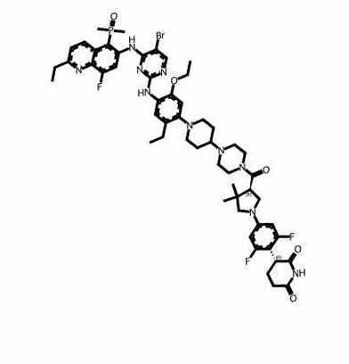 CCOc1cc(N2CCC(N3CCN(C(=O)[C@H]4CN(c5cc(F)c([C@H]6CCC(=O)NC6=O)c(F)c5)CC4(C)C)CC3)CC2)c(CC)cc1Nc1ncc(Br)c(Nc2cc(F)c3nc(CC)ccc3c2P(C)(C)=O)n1